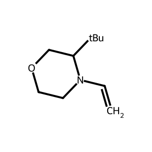 C=CN1CCOCC1C(C)(C)C